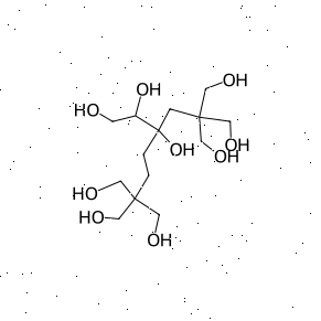 OCC(O)C(O)(CCC(CO)(CO)CO)CC(CO)(CO)CO